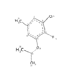 Cc1cc(Cl)c(F)c(OC(C)C)c1